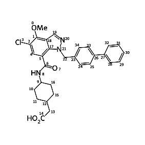 COc1c(Cl)cc(C(=O)NC2CCC(CC(=O)O)CC2)c2c1cnn2Cc1ccc(-c2ccccc2)cc1